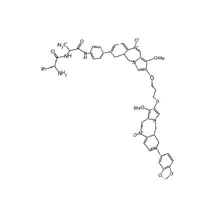 COc1c(OCCCOc2cn3c(c2OC)C=[N+]([O-])C2=CC=C(c4ccc5c(c4)OCO5)CC2C3)cn2c1C=[N+]([O-])C1=CC=C(c3ccc(NC(=O)C(C)NC(=O)C(N)C(C)C)cc3)CC1C2